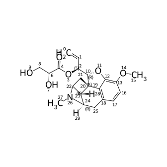 C=C[C@H](OC(=O)C(O)CO)[C@@H]1Oc2c(OC)ccc3c2[C@@]12CC1[C@H]2[C@@H](C3)N1C